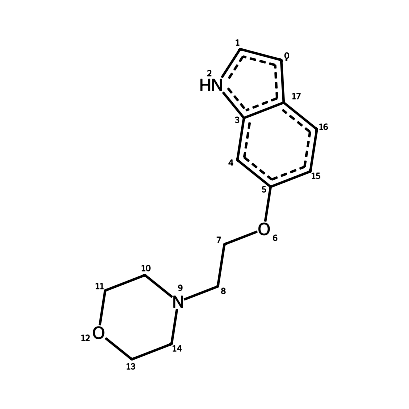 [c]1c[nH]c2cc(OCCN3CCOCC3)ccc12